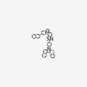 c1ccc2c(c1)CCc1c-2c2c3ccccc3ccc2n1-c1ccc(-c2nc3ccc4oc5ccc(-c6ccc7ccccc7c6)cc5c4c3s2)cc1